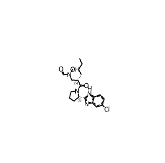 CCCC[C@@H](CN(O)C=O)C(=O)N1CCC[C@H]1c1nc2cc(Cl)ccc2[nH]1